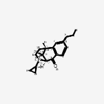 CCCc1ccc2c(c1)[C@@]1(C)CCN(C3CC3)[C@H](C2=O)[C@@H]1C